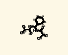 O=C(NC(NC(=O)C(Cl)Cl)c1ccccc1)C(Cl)Cl